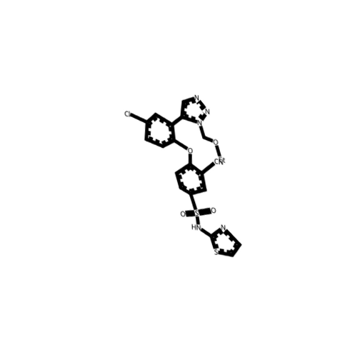 CCOCn1nncc1-c1cc(Cl)ccc1Oc1ccc(S(=O)(=O)Nc2nccs2)cc1C#N